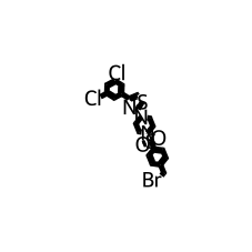 O=S(=O)(c1ccc(CBr)cc1)N1CCN(c2nc(-c3cc(Cl)cc(Cl)c3)cs2)CC1